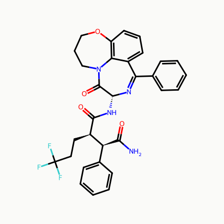 NC(=O)[C@@H](c1ccccc1)[C@@H](CCC(F)(F)F)C(=O)N[C@H]1N=C(c2ccccc2)c2cccc3c2N(CCCO3)C1=O